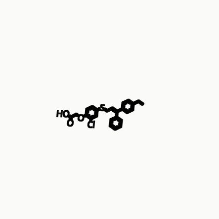 CCc1ccc(C(=CCSc2ccc(OCC(=O)O)c(Cl)c2)c2ccccc2)cc1